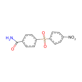 NC(=O)c1ccc(S(=O)(=O)c2ccc([N+](=O)[O-])cc2)cc1